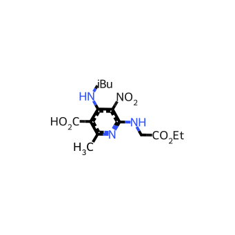 CCOC(=O)CNc1nc(C)c(C(=O)O)c(NC(C)CC)c1[N+](=O)[O-]